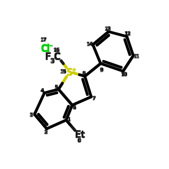 CCc1cccc2c1cc(-c1ccccc1)[s+]2C(F)(F)F.[Cl-]